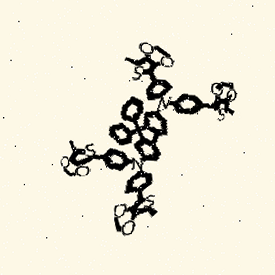 Cc1sc(-c2ccc(N(c3ccc(-c4sc(C)c5c4OCCO5)cc3)c3ccc4c(c3)C(c3ccccc3)(c3ccccc3)c3cc(N(c5ccc(-c6sc(C)c7c6OCCO7)cc5)c5ccc(-c6sc(C)c7c6OCCO7)cc5)ccc3-4)cc2)c2c1OCCO2